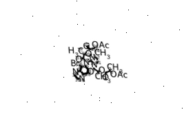 CC(=O)OC(C)C(=O)OC(C)C(=O)N1CCN=C1N(C(=O)C(C)OC(=O)C(C)OC(C)=O)c1ccc2nccnc2c1Br